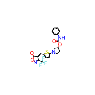 O=C(Nc1ccccc1)OC1CCN(c2ccc(C=C3C(=O)ON=C3C(F)(F)F)s2)C1